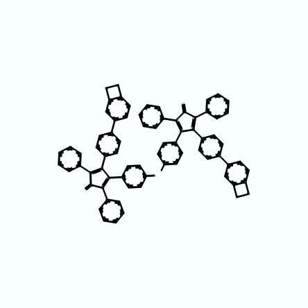 O=C1C(c2ccccc2)=C(c2ccc(Oc3ccc(C4=C(c5ccccc5)C(=O)C(c5ccccc5)=C4c4ccc(-c5ccc6c(c5)CC6)cc4)cc3)cc2)C(c2ccc(-c3ccc4c(c3)CC4)cc2)=C1c1ccccc1